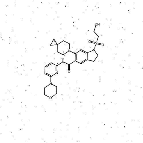 O=C(Nc1cccc(N2CCOCC2)n1)c1cc2c(cc1N1CCC3(CC1)CC3)N(S(=O)(=O)CCO)CC2